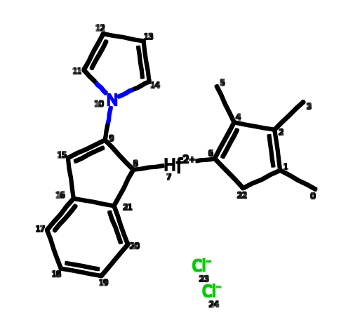 CC1=C(C)C(C)=[C]([Hf+2][CH]2C(n3cccc3)=Cc3ccccc32)C1.[Cl-].[Cl-]